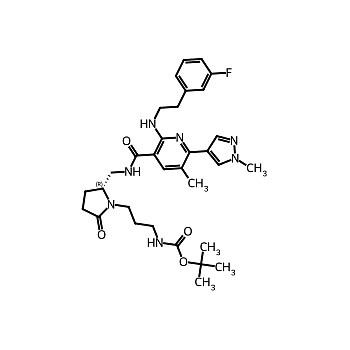 Cc1cc(C(=O)NC[C@H]2CCC(=O)N2CCCNC(=O)OC(C)(C)C)c(NCCc2cccc(F)c2)nc1-c1cnn(C)c1